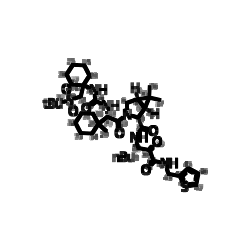 CCCC[C@H](NC(=O)[C@@H]1[C@@H]2[C@H](CN1C(=O)[C@@H](NC(=O)NC1(CS(=O)(=O)C(C)(C)C)CCCCC1)C1(C)CCCCC1)C2(C)C)C(=O)C(=O)NCc1cccs1